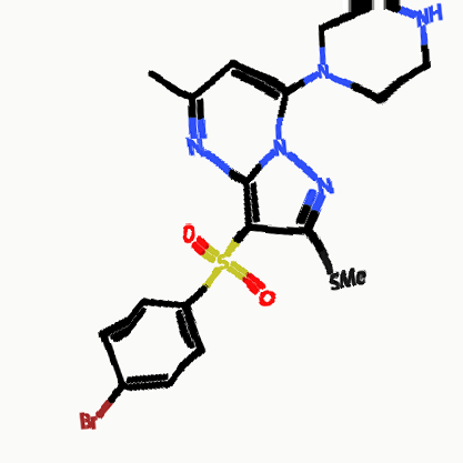 CSc1nn2c(N3CCNCC3)cc(C)nc2c1S(=O)(=O)c1ccc(Br)cc1